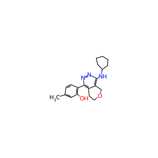 Cc1ccc(-c2nnc(NC3CCCCC3)c3c2CCOC3)c(O)c1